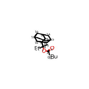 CCC(C)C(=O)OC(C)(CC)C12CC3CC(CC(C3)C1)C2